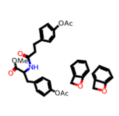 COC(=O)C(Cc1ccc(OC(C)=O)cc1)NC(=O)CCc1ccc(OC(C)=O)cc1.c1ccc2c(c1)CO2.c1ccc2c(c1)CO2